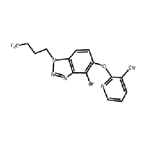 N#Cc1cccnc1Oc1ccc2c(nnn2CCCC(F)(F)F)c1Br